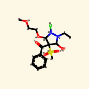 CCN1C(O)C(C(=O)c2ccccc2)(S(C)(=O)=O)C(OCCOC)N1Cl